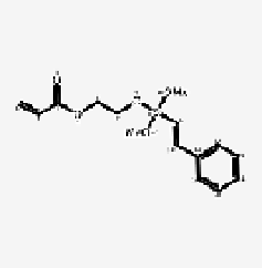 C=CC(=O)OCCO[Si](C=Cc1ccccc1)(OC)OC